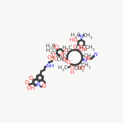 CC[C@H]1OC(=O)[C@H](C)[C@@H](O[C@H]2C[C@@](C)(OC)[C@@H](OS(=O)(=O)CCNCCCc3cc4c5c(c3)c(=O)c(C(=O)O)cn5COC4)[C@H](C)O2)[C@H](C)[C@H](O[C@H]2O[C@@H](C)C[C@H](N(C)C)[C@H]2O)[C@](C)(O)C[C@@H](C)/C(=N\OCC#N)[C@@H](C)[C@H](O)[C@@]1(C)O